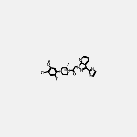 COc1cc(N2CCN(C(=O)Cn3nc(-c4nccs4)c4cccnc43)[C@@H](C)C2)c(F)cc1Cl